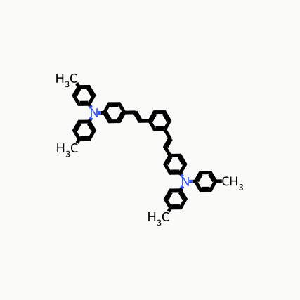 Cc1ccc(N(c2ccc(C)cc2)c2ccc(C=Cc3cccc(C=Cc4ccc(N(c5ccc(C)cc5)c5ccc(C)cc5)cc4)c3)cc2)cc1